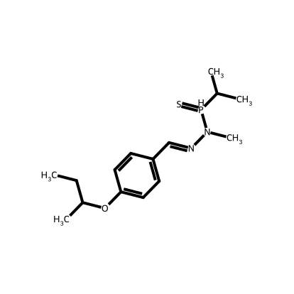 CCC(C)Oc1ccc(C=NN(C)[PH](=S)C(C)C)cc1